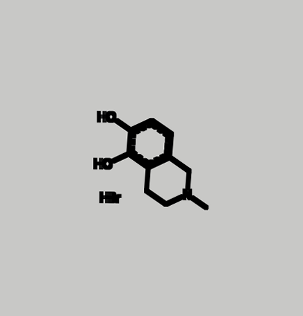 Br.CN1CCc2c(ccc(O)c2O)C1